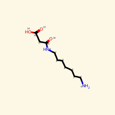 NCCCCCCCNC(=O)CC(=O)O